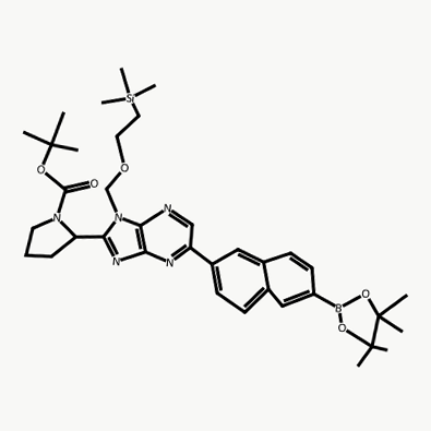 CC(C)(C)OC(=O)N1CCCC1c1nc2nc(-c3ccc4cc(B5OC(C)(C)C(C)(C)O5)ccc4c3)cnc2n1COCC[Si](C)(C)C